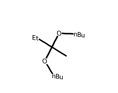 [CH2]CC(C)(OCCCC)OCCCC